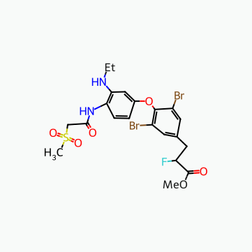 CCNc1cc(Oc2c(Br)cc(CC(F)C(=O)OC)cc2Br)ccc1NC(=O)CS(C)(=O)=O